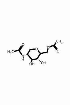 CC(=O)N[C@@H]1COC(COC(C)=O)[C@H](O)C1O